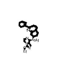 CCOc1ncc2c([AsH]c3ccc4ccc(-c5ccccc5)nc4c3)nccn12